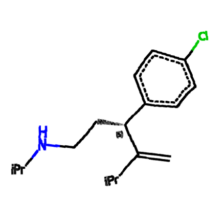 C=C(C(C)C)[C@H](CCNC(C)C)c1ccc(Cl)cc1